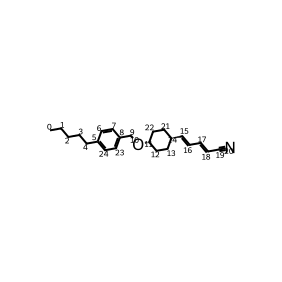 CCCCCc1ccc(CO[C@H]2CC[C@H](/C=C/C=C/C#N)CC2)cc1